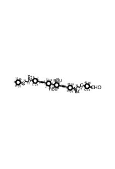 CCCCc1cc(C#Cc2ccc(N(CC)CCOc3ccccc3)cc2)ccc1-c1ccc(C#Cc2ccc(N(CC)CCOc3ccc(C=O)cc3)cc2)cc1CCCC